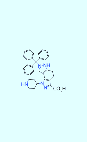 O=C(O)c1nn(C2CCNCC2)c2c1CCC1=C2CN(C(c2ccccc2)(c2ccccc2)c2ccccc2)N1